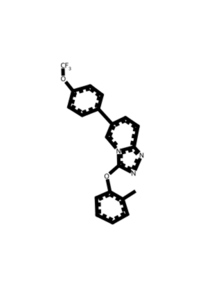 Cc1ccccc1Oc1nnc2ccc(-c3ccc(OC(F)(F)F)cc3)cn12